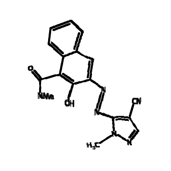 CNC(=O)c1c(O)c(/N=N/c2c(C#N)cnn2C)cc2ccccc12